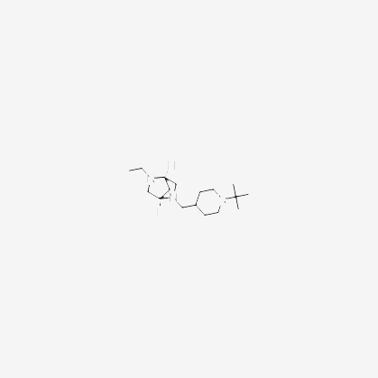 CCN1C[C@@H]2C[C@H]1CN2CC1CCN(C(C)(C)C)CC1